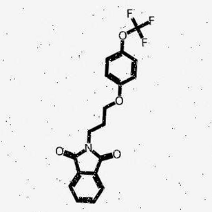 O=C1c2ccccc2C(=O)N1CCCOc1ccc(OC(F)(F)F)cc1